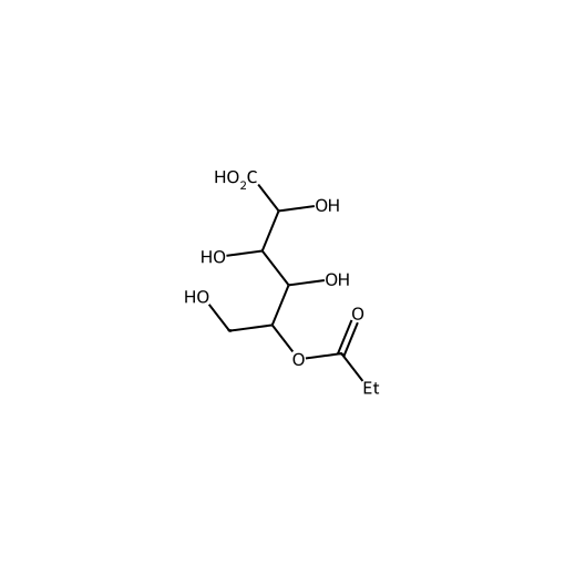 CCC(=O)OC(CO)C(O)C(O)C(O)C(=O)O